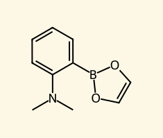 CN(C)c1ccccc1B1OC=CO1